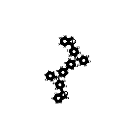 c1ccc(N(c2ccc(-c3ccc(N(c4ccccc4)c4ccc(-c5occ6ccccc56)cc4)cc3)cc2)c2ccc(-c3occ4ccccc34)cc2)cc1